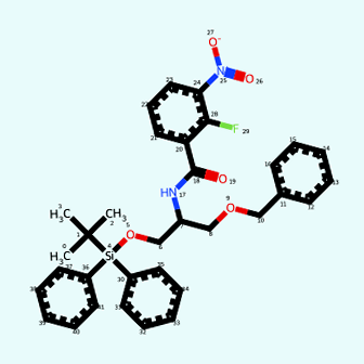 CC(C)(C)[Si](OCC(COCc1ccccc1)NC(=O)c1cccc([N+](=O)[O-])c1F)(c1ccccc1)c1ccccc1